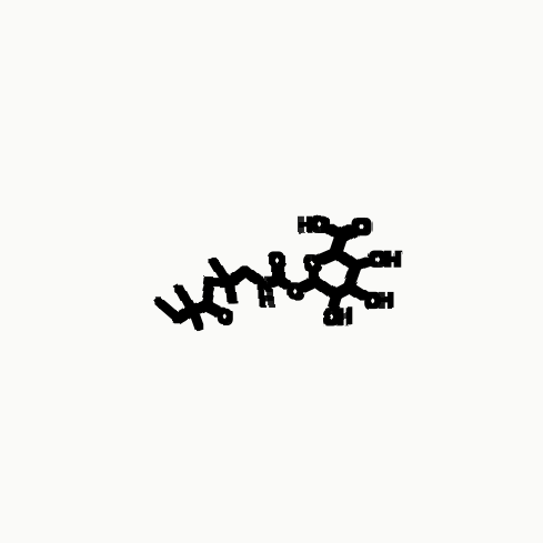 CCC(C)(C)C(=O)CC(C)(C)CNC(=O)OC1OC(C(=O)O)C(O)C(O)C1O